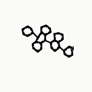 c1ccc(-c2c3ccccc3c(-c3ccc(-c4cccnc4)c4ccccc34)c3ccccc23)cc1